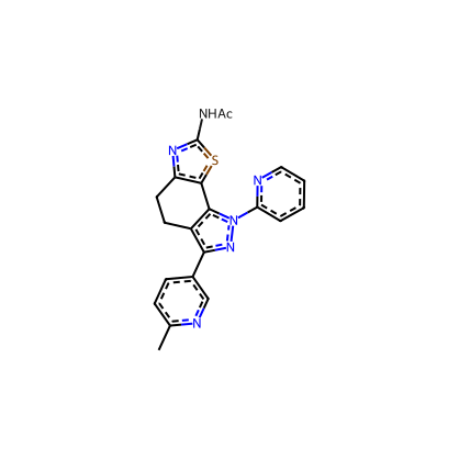 CC(=O)Nc1nc2c(s1)-c1c(c(-c3ccc(C)nc3)nn1-c1ccccn1)CC2